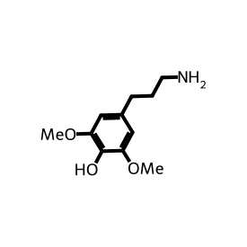 COc1cc(CCCN)cc(OC)c1O